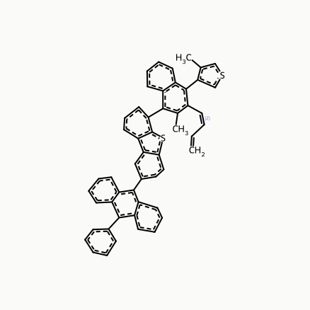 C=C/C=C\c1c(C)c(-c2cccc3c2sc2ccc(-c4c5ccccc5c(-c5ccccc5)c5ccccc45)cc23)c2ccccc2c1-c1cscc1C